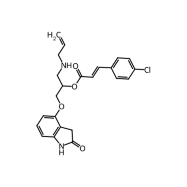 C=CCNCC(COc1cccc2c1CC(=O)N2)OC(=O)/C=C/c1ccc(Cl)cc1